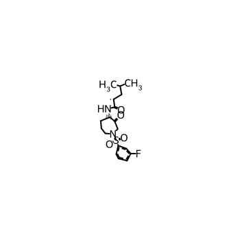 CC(C)C[CH]C(=O)N[C@H]1CCCN(S(=O)(=O)c2cccc(F)c2)CC1=O